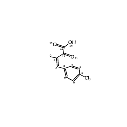 CC(=Cc1ccc(Cl)cc1)C(=O)C(=O)O